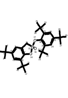 CC(C)(C)c1cc2c(c(C(C)(C)C)c1)OP(=O)(Oc1c(C(C)(C)C)cc(C(C)(C)C)cc1C(C)(C)C)C2